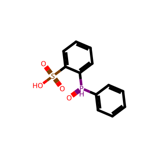 O=[PH](c1ccccc1)c1ccccc1S(=O)(=O)O